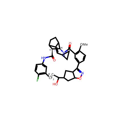 COc1ccc(C2=NOC3CC(C(O)C(F)(F)F)CC23)cc1C(=O)N[C@@H]1C2CCC(/C2=C/C2CC2)[C@@H]1C(=O)Nc1ccc(F)c(C(F)(F)F)c1